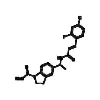 COC(=O)N1CCc2cc(C(C)NC(=O)C=Cc3ccc(Cl)cc3F)ccc21